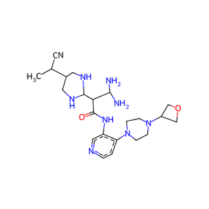 CC(C#N)C1CNC(C(C(=O)Nc2cnccc2N2CCN(C3COC3)CC2)C(N)N)NC1